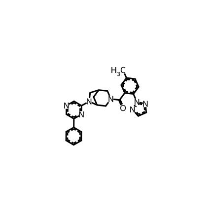 Cc1ccc(-n2nccn2)c(C(=O)N2CC3CC(C2)N(c2cncc(-c4ccccc4)n2)C3)c1